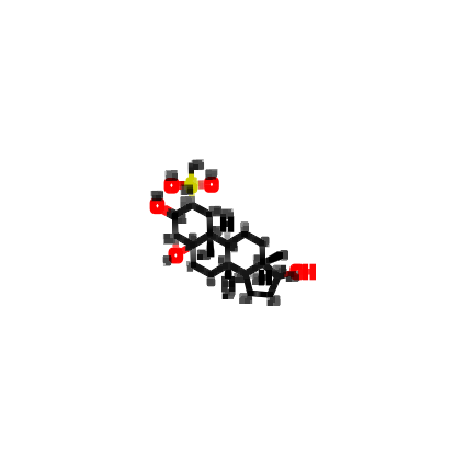 C[C@]12CC[C@H]3[C@@H](CCC45OC4C(=O)C(S(C)(=O)=O)C[C@]35C)[C@@H]1CCC2O